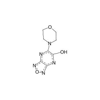 Oc1nc2nonc2nc1N1CCOCC1